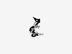 CC(C)(O)C1CCCCN1C(=O)c1cn2c(NC(=O)CC34CC5CC5C5(CC5C3)C4)cccc2n1